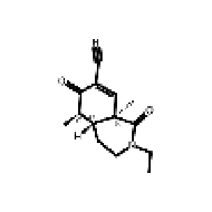 CCN1CC[C@@H]2[C@@H](C)C(=O)C(C#N)=C[C@@]2(C)C1=O